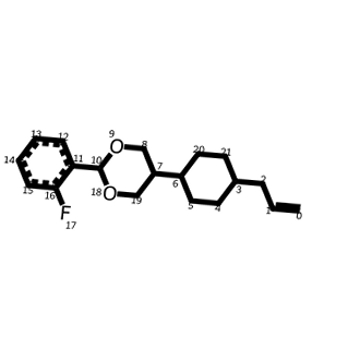 C=CCC1CCC(C2COC(c3ccccc3F)OC2)CC1